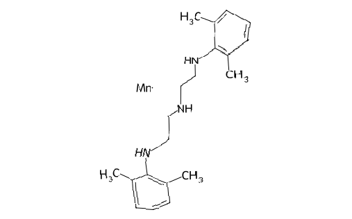 Cc1cccc(C)c1NCCNCCNc1c(C)cccc1C.[Mn]